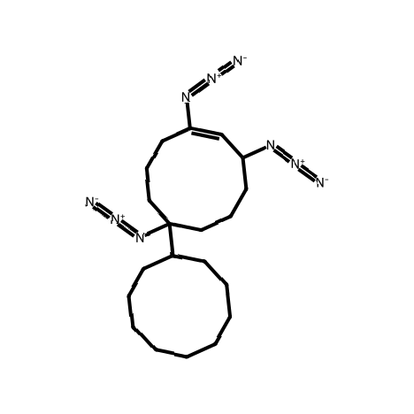 [N-]=[N+]=NC1=CC(N=[N+]=[N-])CCCC(N=[N+]=[N-])(C2CCCCCCCCC2)CCC1